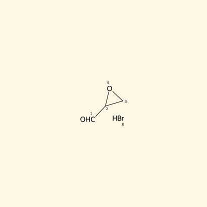 Br.O=CC1CO1